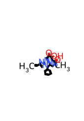 CC#Cc1cn(C(c2ccccc2)C2CN(C)C(=O)c3c(O)c(=O)cnn32)cn1